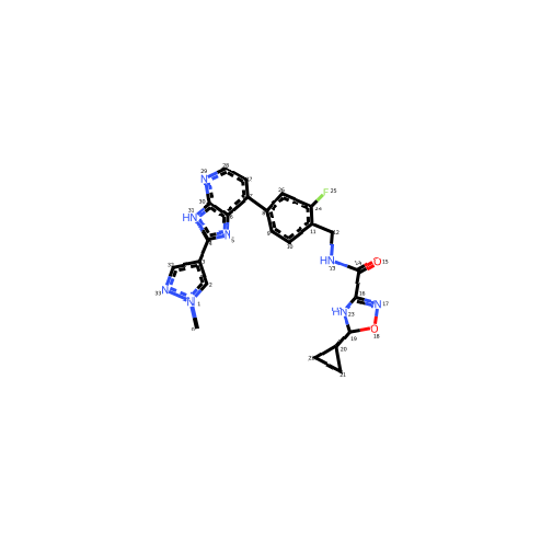 Cn1cc(-c2nc3c(-c4ccc(CNC(=O)C5=NOC(C6CC6)N5)c(F)c4)ccnc3[nH]2)cn1